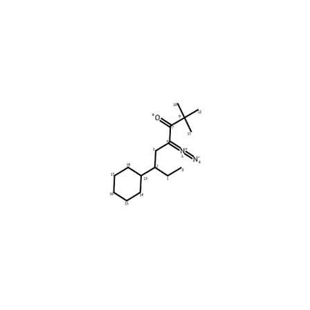 CCC(CC(=[N+]=[N-])C(=O)C(C)(C)C)C1CCCCC1